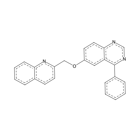 c1ccc(-c2ncnc3ccc(OCc4ccc5ccccc5n4)cc23)cc1